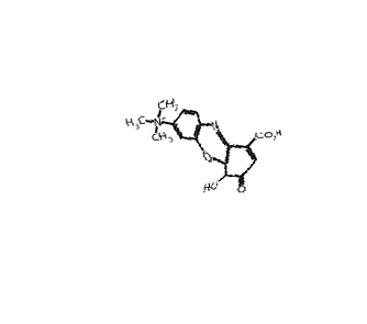 C[N+](C)(C)c1ccc2c(c1)OC1C(=N2)C(C(=O)O)=CC(=O)C1O